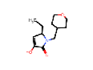 CCC1C=C(O)C(=O)N1CC1CCOCC1